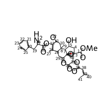 COC(=O)C12CC(O)C3C4(C)CC(=O)C(OC(=O)C(N)Cc5ccccc5)=C(C)C4CC4OC(=O)C(OC(=O)C=C(C)C)C1C43CO2